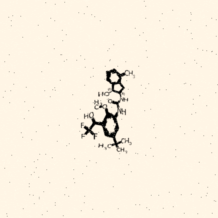 COc1c(NC(=O)N[C@@H]2Cc3c(C)cccc3[C@H]2O)cc(C(C)(C)C)cc1C(O)C(F)(F)F